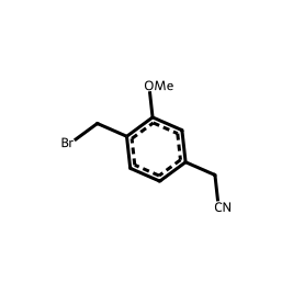 COc1cc(CC#N)ccc1CBr